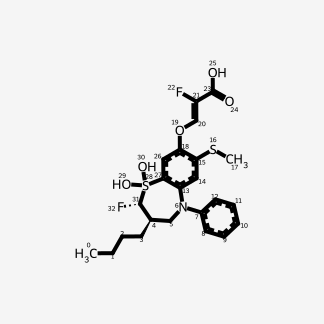 CCCC[C@@H]1CN(c2ccccc2)c2cc(SC)c(O/C=C(\F)C(=O)O)cc2S(O)(O)[C@H]1F